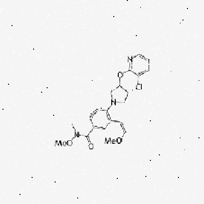 CO/C=C\c1cc(C(=O)N(C)OC)ccc1N1CCC(Oc2ncccc2Cl)C1